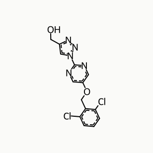 OCc1cn(-c2ncc(OCc3c(Cl)cccc3Cl)cn2)nn1